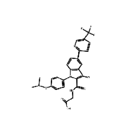 CC(C)Oc1ccc(-n2c(C(=O)NCC(=O)O)c(Cl)c3cc(-c4ccc(C(F)(F)F)cn4)ccc32)cc1